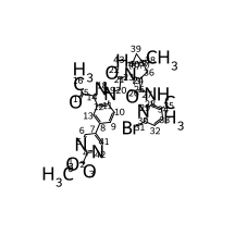 COC(=O)c1ncc(-c2ccc3c(c2)c(C(C)=O)nn3CC(=O)N2[C@H](C(=O)Nc3nc(Br)ccc3C)C[C@@]3(C)C[C@@H]23)cn1